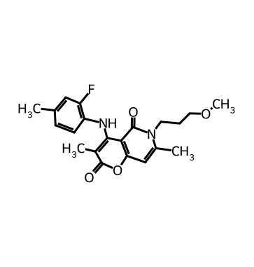 COCCCn1c(C)cc2oc(=O)c(C)c(Nc3ccc(C)cc3F)c2c1=O